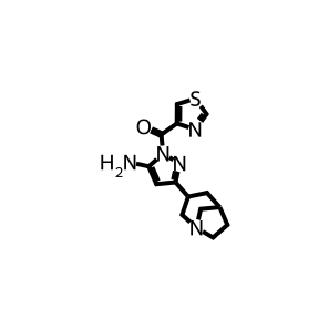 Nc1cc(C2CC3CCN(C3)C2)nn1C(=O)c1cscn1